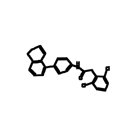 O=C(Cc1c(Cl)cccc1Cl)Nc1ccc(-c2cccc3c2C=CCC3)cc1